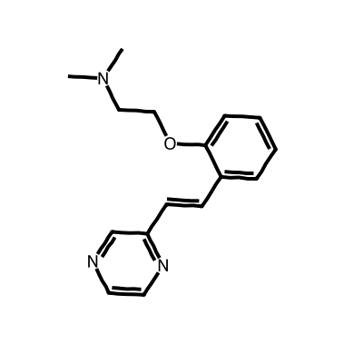 CN(C)CCOc1ccccc1/C=C/c1cnccn1